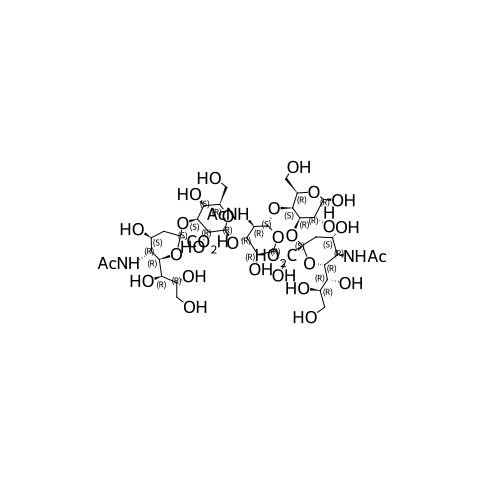 CC(=O)N[C@H]1[C@H](O[C@@H]2[C@H](O[C@]3(C(=O)O)C[C@H](O)[C@@H](NC(C)=O)[C@H]([C@H](O)[C@H](O)CO)O3)[C@@H](O)[C@H](O)O[C@@H]2CO)O[C@H](CO)[C@H](O)[C@@H]1O[C@@H]1O[C@H](CO)[C@H](O)[C@H](O[C@]2(C(=O)O)C[C@H](O)[C@@H](NC(C)=O)[C@H]([C@H](O)[C@H](O)CO)O2)[C@H]1O